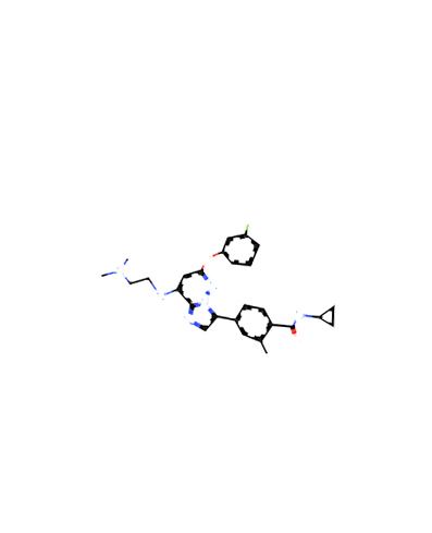 Cc1cc(-c2cnc3c(NCCN(C)C)cc(Oc4cccc(F)c4)nn23)ccc1C(=O)NC1CC1